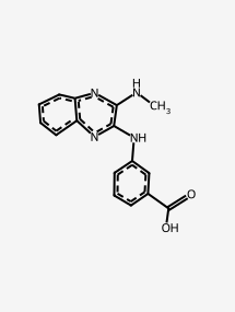 CNc1nc2ccccc2nc1Nc1cccc(C(=O)O)c1